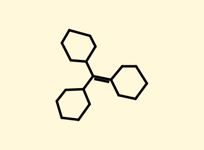 C1CCC(=C(C2CCCCC2)C2CCCCC2)CC1